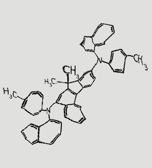 Cc1ccc(N(c2ccc3c(c2)C(C)(C)c2cc(N(c4ccc(C)cc4)c4cccc5ccccc45)c4ccccc4c2-3)c2cccc3ccccc23)cc1